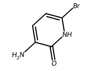 Nc1ccc(Br)[nH]c1=O